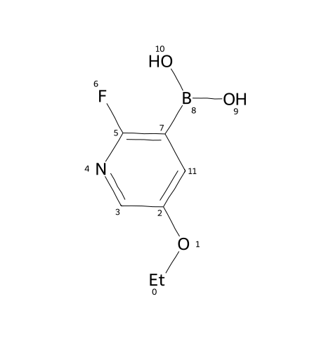 CCOc1cnc(F)c(B(O)O)c1